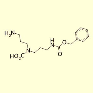 NCCCN(CCCNC(=O)OCc1ccccc1)C(=O)O